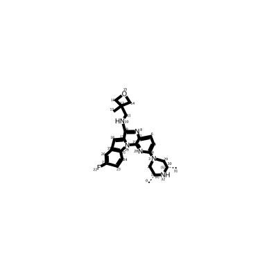 C[C@@H]1CN(c2ccc3nc(NCC4(C)COC4)c4cc5cc(F)ccc5n4c3n2)C[C@H](C)N1